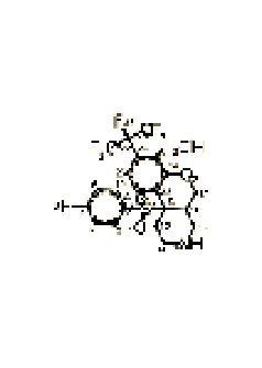 Cl.O=S(=O)(c1ccc(F)cc1)C12CCNCC1COc1cc(C(F)(C(F)(F)F)C(F)(F)F)ccc12